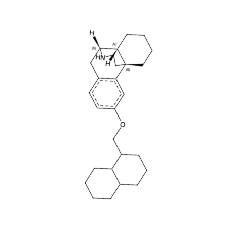 c1cc2c(cc1OCC1CCCC3CCCCC31)[C@@]13CCCC[C@H]1[C@@H](C2)NCC3